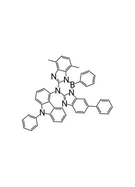 Cc1ccc(C)c2c1nc1n2B(c2ccccc2)n2c(nc3ccc(-c4ccccc4)cc32)N1c1cccc2c1c1ccccc1n2-c1ccccc1